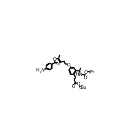 Cc1oc(-c2ccc(N)cc2)nc1CCOc1ccc(CCC(=O)OC(C)(C)C)c(C(C)NC(=O)OC(C)C)c1